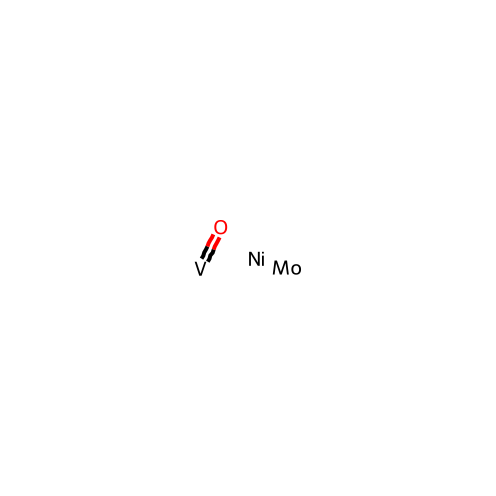 [Mo].[Ni].[O]=[V]